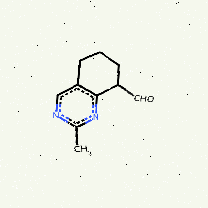 Cc1ncc2c(n1)C(C=O)CCC2